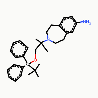 CC(C)(CO[Si](c1ccccc1)(c1ccccc1)C(C)(C)C)N1CCc2ccc(N)cc2CC1